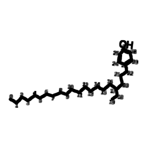 CCCCCCCCCCCCCCCCCC(CC)CCCc1ccc(O)cc1